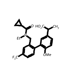 CCN(Cc1cc(C(F)(F)F)ccc1-c1cc(C(C)C(=O)O)ccc1OC)C(=O)C1CC1